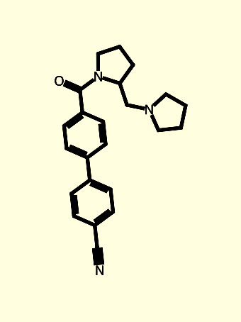 N#Cc1ccc(-c2ccc(C(=O)N3CCCC3CN3CCCC3)cc2)cc1